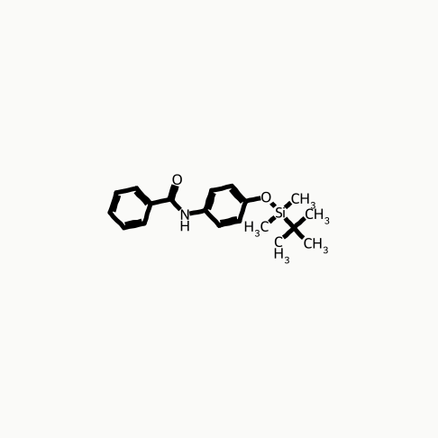 CC(C)(C)[Si](C)(C)Oc1ccc(NC(=O)c2ccccc2)cc1